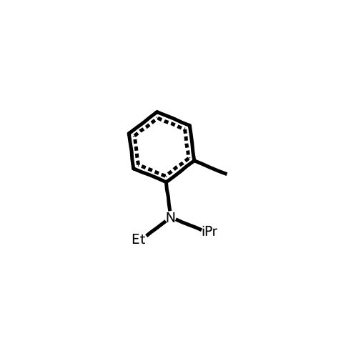 CCN(c1ccccc1C)C(C)C